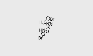 CCn1c(SCC(=O)Nc2ccc(Br)cc2)nnc1-c1ccccc1Br